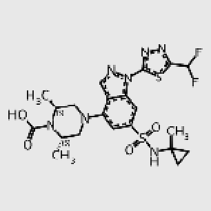 C[C@H]1CN(c2cc(S(=O)(=O)NC3(C)CC3)cc3c2cnn3-c2nnc(C(F)F)s2)C[C@H](C)N1C(=O)O